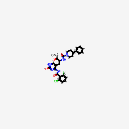 COC(=O)C(Cc1c[nH]c(=O)nc1NC(=O)c1c(Cl)cccc1Cl)NC(=O)N1CCC(c2ccccc2)CC1